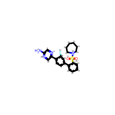 Nc1cnc(-c2ccc(-c3ccccc3S(=O)(=O)N3CCCCCC3)cc2F)cn1